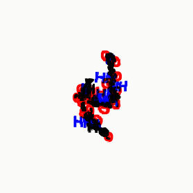 COc1ccc(C2=CN3C(=O)c4cc(OC)c(OCCCOc5cc6c(cc5OC)C(=O)N5CC7(CC7)C[C@H]5C(O)N6C(=O)OCc5ccc(NC(=O)C(C)NC(=O)[C@H](NC(=O)CNC(=O)CNC(=O)CCCCCN6C(=O)C=CC6=O)C(C)C)cc5)cc4NC[C@H]3C2)cc1